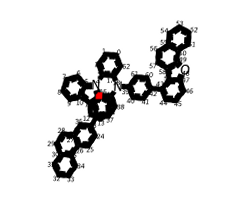 c1ccc(-n2c3ccccc3c3ccccc32)c(N(c2ccc(-c3ccc4c(ccc5ccccc54)c3)cc2)c2ccc(-c3cccc4oc5c6ccccc6ccc5c34)cc2)c1